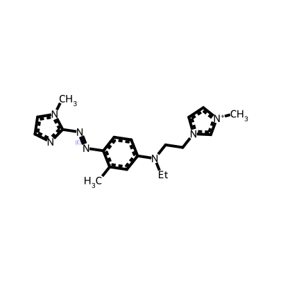 CCN(CCn1cc[n+](C)c1)c1ccc(/N=N/c2nccn2C)c(C)c1